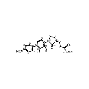 COC(=O)CCN1CCN(c2ccc(-c3ccc(C#N)cc3)c(C)c2C)C1=O